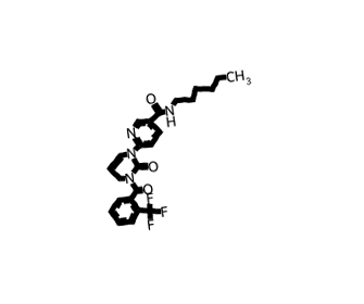 CCCCCCNC(=O)c1ccc(N2C=CCN(C(=O)c3ccccc3C(F)(F)F)C2=O)nc1